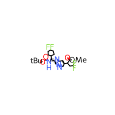 COC(=O)C(CC(F)F)c1cnn2cc([C@@H](NC(=O)OC(C)(C)C)C3CCC(F)(F)CC3)nc2c1